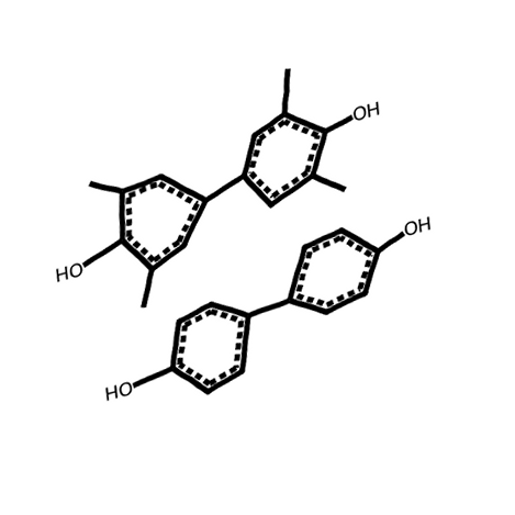 Cc1cc(-c2cc(C)c(O)c(C)c2)cc(C)c1O.Oc1ccc(-c2ccc(O)cc2)cc1